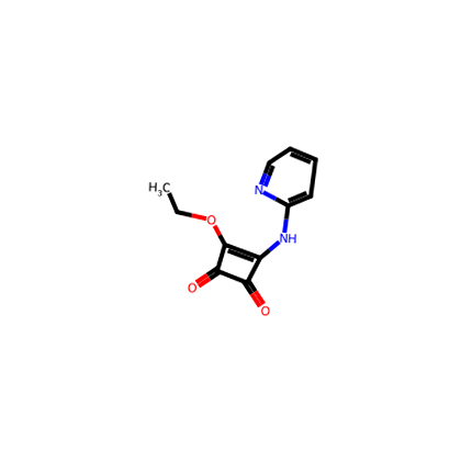 CCOc1c(Nc2ccccn2)c(=O)c1=O